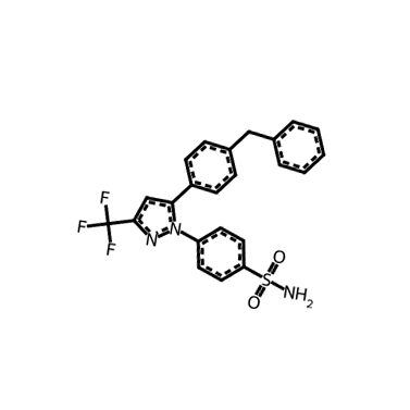 NS(=O)(=O)c1ccc(-n2nc(C(F)(F)F)cc2-c2ccc(Cc3ccccc3)cc2)cc1